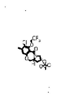 Cc1cc2c(c(OCC(F)(F)F)c1Cl)C(=O)N1C[C@H](OS(C)(=O)=O)C[C@@H]1CO2